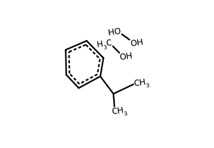 CC(C)c1ccccc1.CO.OO